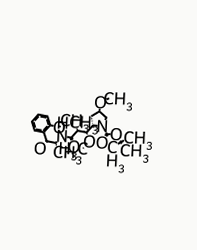 COc1ccccc1C(=O)[C@@H](C)NC(=O)[C@H](C)[C@@H](OC)[C@@H]1C[C@@H](OC)CN1C(=O)OC(C)(C)C